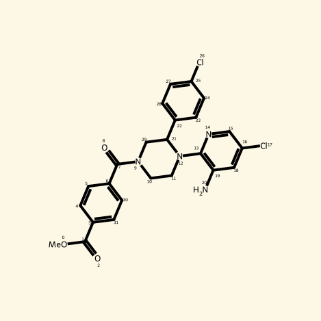 COC(=O)c1ccc(C(=O)N2CCN(c3ncc(Cl)cc3N)C(c3ccc(Cl)cc3)C2)cc1